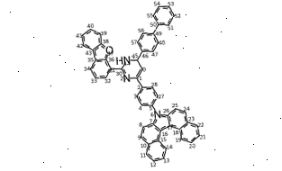 C1=C(c2ccc(-n3c4ccc5ccccc5c4c4c5ccccc5ccc43)cc2)N=C(c2cccc3c2oc2ccccc23)NC1c1ccc(-c2ccccc2)cc1